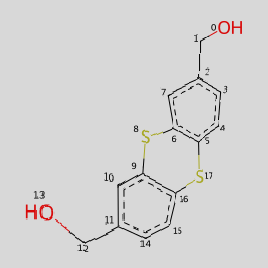 OCc1ccc2c(c1)Sc1cc(CO)ccc1S2